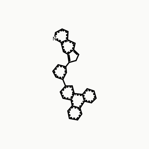 C1=c2cc3cccnc3cc2=C(c2cccc(-c3ccc4c5ccccc5c5ccccc5c4c3)c2)C1